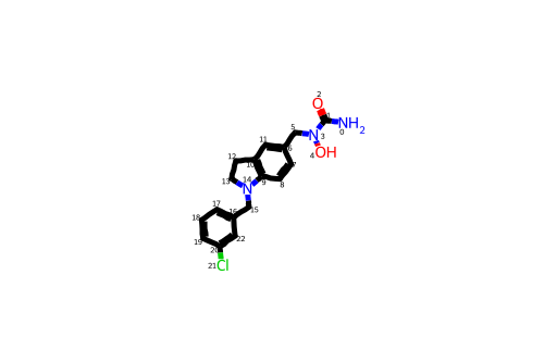 NC(=O)N(O)Cc1ccc2c(c1)CCN2Cc1cccc(Cl)c1